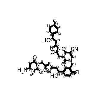 Cn1c(N)cc(=O)n(Cc2nc(C[C@H](O)c3ccc(Cl)c(Cn4cc(C#N)c(=O)n(Cc5nc(C[C@H](O)c6ccc(Cl)cc6)no5)c4=O)c3)no2)c1=O